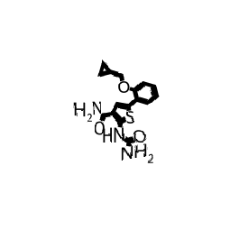 NC(=O)Nc1sc(-c2ccccc2OCC2CC2)cc1C(N)=O